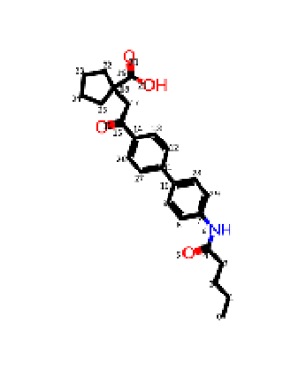 CCCCC(=O)Nc1ccc(-c2ccc(C(=O)CC3(C(=O)O)CCCC3)cc2)cc1